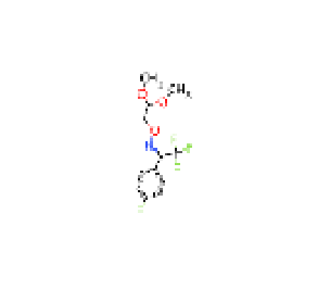 COC(CON=C(c1ccc(F)cc1)C(F)(F)F)OC